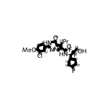 COc1ccc(-c2nn3cc(C(=O)N[C@@H](c4ccc(F)cc4)C(F)(F)CO)c(C(C)C)c3c(=O)[nH]2)cc1Cl